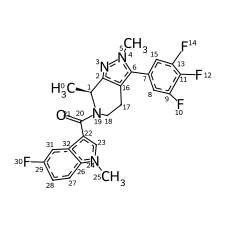 C[C@H]1c2nn(C)c(-c3cc(F)c(F)c(F)c3)c2CCN1C(=O)c1cn(C)c2ccc(F)cc12